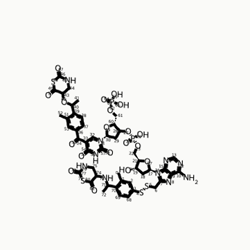 Cc1cc(SSCc2nc3c(N)ncnc3n2[C@H]2C[C@H](O)[C@@H](COP(=O)(O)OC3C[C@H](n4cc(C(=O)c5ccc(C(C)OC6CNC(=O)SC6=O)c(C)c5)c(=O)[nH]c4=O)O[C@@H]3COP(=O)(O)O)O2)ccc1C(C)NC1CNC(=O)SC1=O